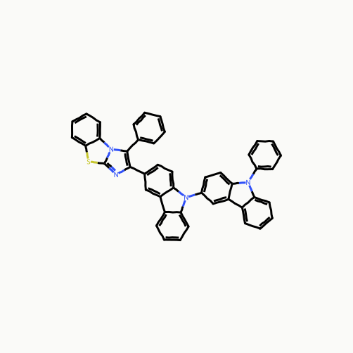 c1ccc(-c2c(-c3ccc4c(c3)c3ccccc3n4-c3ccc4c(c3)c3ccccc3n4-c3ccccc3)nc3sc4ccccc4n23)cc1